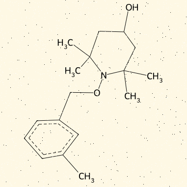 Cc1cccc(CON2C(C)(C)CC(O)CC2(C)C)c1